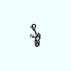 C[C@@H]1CCCCN1CCCN1CCN(CCCN2CCC[C@@H]2C)C1=C(C#N)C#N